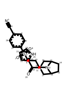 N#Cc1ccc(S(=O)(=O)CCCN2C3CCC2CN(C(=O)c2ccc[nH]2)C3)cc1